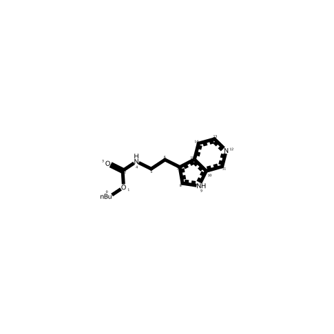 CCCCOC(=O)NCCc1c[nH]c2cnccc12